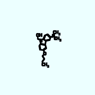 CCCCOc1ccc2c(c1)c1cc(N(C)C)ccc1n2CO